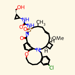 CO[C@H]1/C=C/C[C@H](C)C[S@@](=O)(NC(=O)N[C@H]2C[C@@H]2CO)=NC(=O)c2ccc3c(c2)N(Cc2ccc(Cl)cc2CCCCO3)C[C@@H]2CC[C@H]21